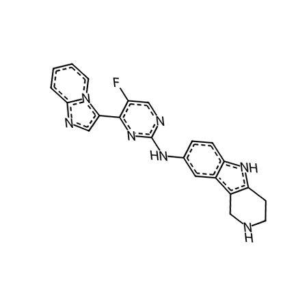 Fc1cnc(Nc2ccc3[nH]c4c(c3c2)CNCC4)nc1-c1cnc2ccccn12